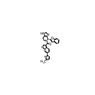 Cn1ccc(-c2ccc3c(C(=O)N4CCc5[nH]cnc5[C@H]4c4cc5ccccc5o4)cnn3c2)n1